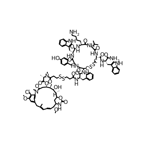 COc1cc2cc(c1Cl)N(C)C(=O)C[C@H](OC(=O)[C@H](C)N(C)C(=O)CCSSCCC(=O)N[C@H](Cc1ccccc1)C(=O)NC1CSSC[C@@H](C(=O)N[C@@H](Cc3c[nH]c4ccccc34)C(N)=O)NC(=O)[C@H](C(C)C)NC(=O)[C@H](CCCCN)NC(=O)[C@@H](Cc3c[nH]c4ccccc34)NC(=O)[C@H](Cc3ccc(O)cc3)NC1=O)[C@@H](C)[C@@H](O)[C@H](C)[C@@H]1CC(NC(=O)O1)[C@H](OC)/C=C/C=C(\C)C2